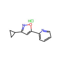 Cl.c1ccc(-c2cc(C3CC3)no2)nc1